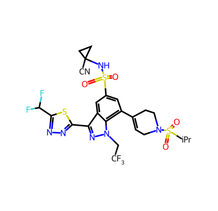 CC(C)S(=O)(=O)N1CC=C(c2cc(S(=O)(=O)NC3(C#N)CC3)cc3c(-c4nnc(C(F)F)s4)nn(CC(F)(F)F)c23)CC1